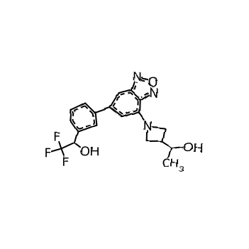 CC(O)C1CN(c2cc(-c3cccc(C(O)C(F)(F)F)c3)cc3nonc23)C1